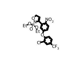 CCOP(=O)(OCC)N1OCC=C1c1cc(Oc2ccc(C(F)(F)F)cc2Cl)ccc1[N+](=O)[O-]